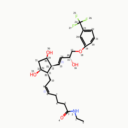 CCNC(=O)CCC/C=C\C[C@@H]1[C@H](/C=C/[C@@H](O)COc2cccc(C(F)(F)F)c2)[C@H](O)C[C@@H]1O